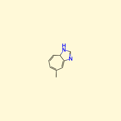 CC1=CC=CC2NC=NC2=C1